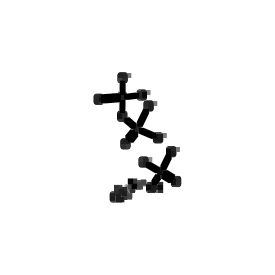 O=P([O-])([O-])O.O=P([O-])([O-])OP(=O)([O-])[O-].[Cu+2].[Fe+3].[Na+]